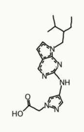 CCC(Cn1ccc2cnc(Nc3cnn(CC(=O)O)c3)nc21)C(C)C